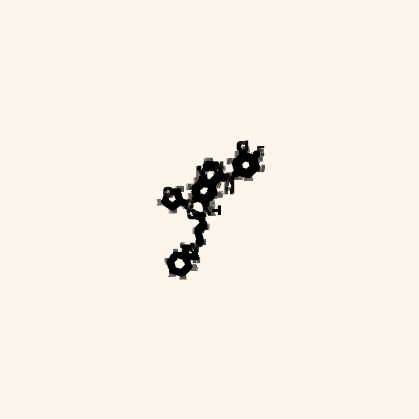 O=C(/C=C/CN1CC2(CCCCC2)C1)Nc1cc2c(Nc3ccc(F)c(Cl)c3)ncnc2cc1OC1CCOC1